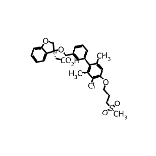 Cc1cc(OCCCS(C)(=O)=O)c(Cl)c(C)c1-c1cccc(CO[C@]2(CC(=O)O)COc3ccccc32)c1